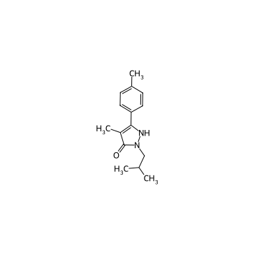 Cc1ccc(-c2[nH]n(CC(C)C)c(=O)c2C)cc1